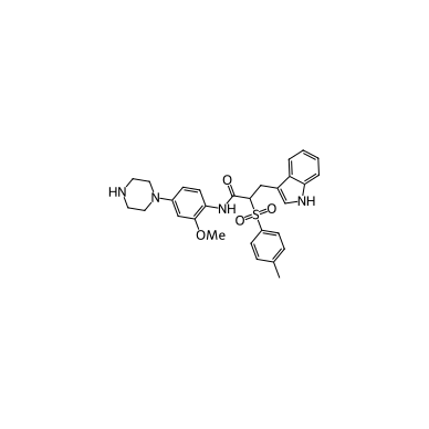 COc1cc(N2CCNCC2)ccc1NC(=O)C(Cc1c[nH]c2ccccc12)S(=O)(=O)c1ccc(C)cc1